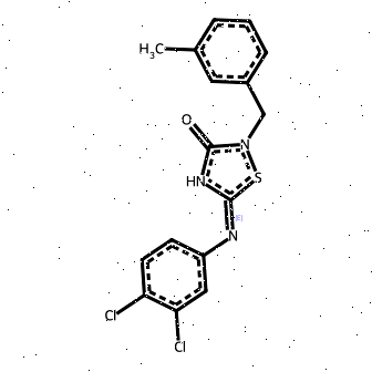 Cc1cccc(Cn2s/c(=N/c3ccc(Cl)c(Cl)c3)[nH]c2=O)c1